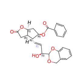 O=C1C[C@@H]2[C@@H](/C=C/[C@H](O)C3OCc4ccccc4O3)[C@H](OC(=O)c3ccccc3)C[C@@H]2O1